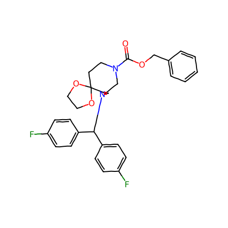 O=C(OCc1ccccc1)N1CCC2(OCCO2)C2(CCN(C(c3ccc(F)cc3)c3ccc(F)cc3)C2)C1